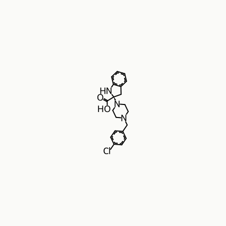 O=C(O)[C@@]1(N2CCN(Cc3ccc(Cl)cc3)CC2)Cc2ccccc2N1